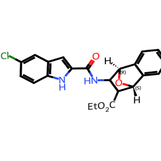 CCOC(=O)C1C(NC(=O)c2cc3cc(Cl)ccc3[nH]2)[C@@H]2O[C@@H]1c1ccccc12